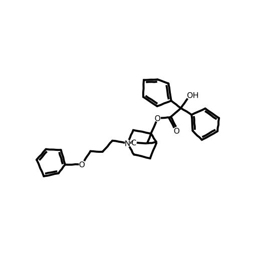 O=C(OC1C[N+]2(CCCOc3ccccc3)CCC1CC2)C(O)(c1ccccc1)c1ccccc1